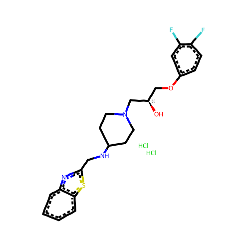 Cl.Cl.O[C@H](COc1ccc(F)c(F)c1)CN1CCC(NCc2nc3ccccc3s2)CC1